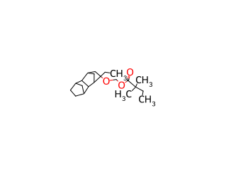 CCC(C)(C)C(=O)OCOC1(CC)CC2CC1C1C3CCC(C3)C21